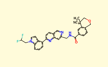 C[C@@]1(C#N)COCc2ccc(C(=O)NCc3cc4nc(-c5cccc6c5ccn6CC(F)F)ccc4cn3)cc21